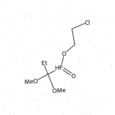 CCC(OC)(OC)[PH](=O)OCCCl